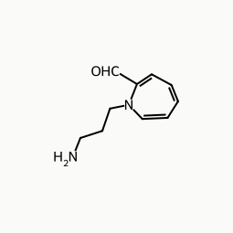 NCCCN1C=CC=CC=C1C=O